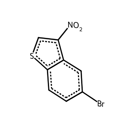 O=[N+]([O-])c1csc2ccc(Br)cc12